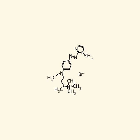 CCN(CCC(C)[N+](C)(C)C)c1ccc(N=Nc2nccn2C)cc1.[Br-]